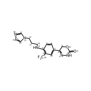 O=C1NN=C(c2ccc(NCCCn3cnnc3)c(C(F)(F)F)c2)CO1